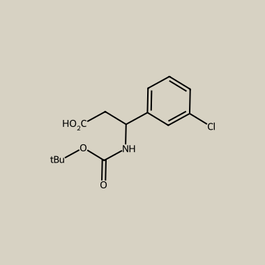 CC(C)(C)OC(=O)NC(CC(=O)O)c1cccc(Cl)c1